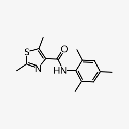 Cc1cc(C)c(NC(=O)c2nc(C)sc2C)c(C)c1